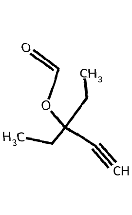 C#CC(CC)(CC)OC=O